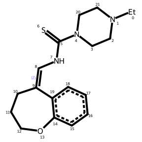 CCN1CCN(C(=S)N/C=C2/CCCOc3ccccc32)CC1